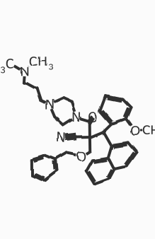 COc1ccccc1C(c1cccc2ccccc12)C(C#N)(COCc1ccccc1)C(=O)N1CCN(CCCN(C)C)CC1